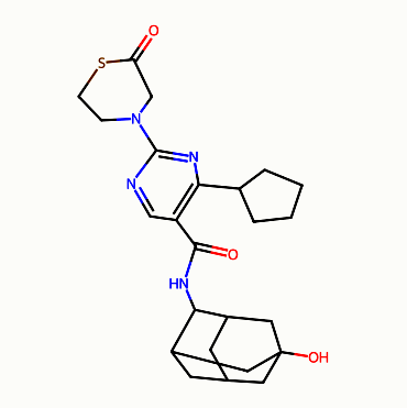 O=C1CN(c2ncc(C(=O)NC3C4CC5CC3CC(O)(C5)C4)c(C3CCCC3)n2)CCS1